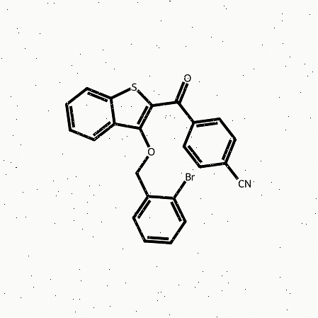 N#Cc1ccc(C(=O)c2sc3ccccc3c2OCc2ccccc2Br)cc1